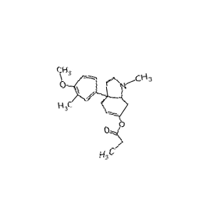 CCC(=O)OC1=CCC2(c3ccc(OC)c(C)c3)CCN(C)C2C1